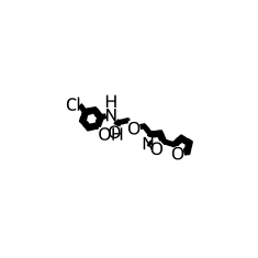 O=C(COCc1cc(-c2ccco2)on1)Nc1cc(Cl)ccc1O